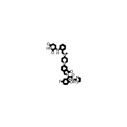 CN(Cc1ccccc1NC1CCC(=O)NC1=O)C1CCN(c2ccc3c(c2)C(=O)N(C(C(=O)Nc2nccs2)c2cc(F)ccc2O)C3)CC1